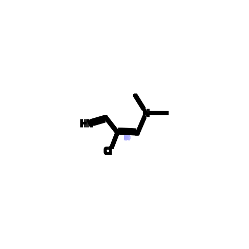 CN(C)/C=C(/Cl)C=N